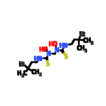 CCC(C)(C)CCNC(=S)N(O)CN(O)C(=S)NCCC(C)(C)CC